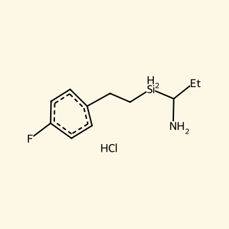 CCC(N)[SiH2]CCc1ccc(F)cc1.Cl